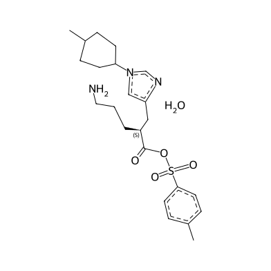 Cc1ccc(S(=O)(=O)OC(=O)[C@@H](CCCN)Cc2cn(C3CCC(C)CC3)cn2)cc1.O